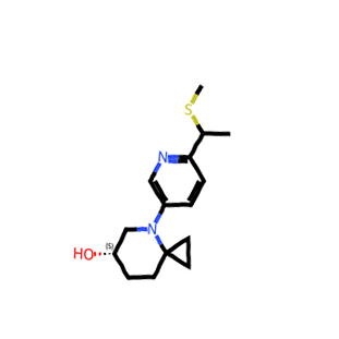 CSC(C)c1ccc(N2C[C@@H](O)CCC23CC3)cn1